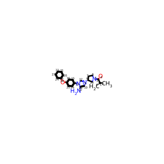 C=C(C)C(=O)N1CC[C@@H](N2C=C(N)N(c3ccc(Oc4ccccc4)cc3)C2)C1